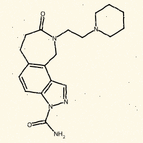 NC(=O)n1ncc2c3c(ccc21)C[CH]C(=O)N(CCN1CCCCC1)C3